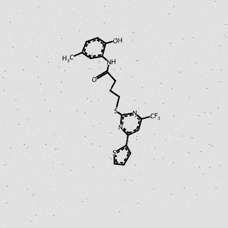 Cc1ccc(O)c(NC(=O)CCCSc2nc(-c3cccs3)cc(C(F)(F)F)n2)c1